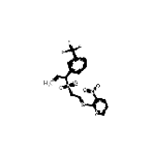 C=CC(c1cccc(C(F)(F)F)c1)S(=O)(=O)CCSc1ncccc1[N+](=O)[O-]